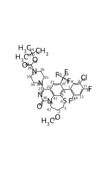 CO[C@H]1CSc2c(-c3cc(Cl)c(F)cc3F)c(C(F)(F)F)cc3c(N4CCN(C(=O)OC(C)(C)C)CC4)nc(=O)n(c23)C1